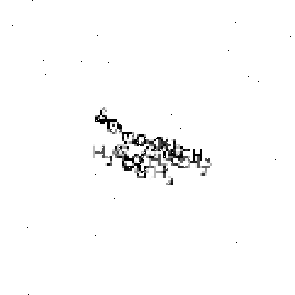 COc1cc(COC2CN(OC(=O)OC(C)(C)C)CCC2c2ccc(OCCCOCc3cccs3)cc2)cc2c(OC)cccc12